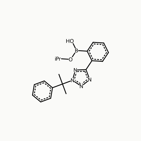 CC(C)OB(O)c1ccccc1-c1nnn(C(C)(C)c2ccccc2)n1